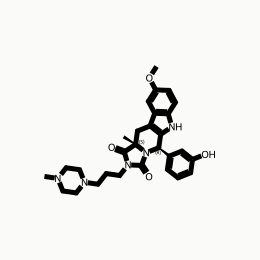 COc1ccc2[nH]c3c(c2c1)C[C@@]1(C)C(=O)N(CCCN2CCN(C)CC2)C(=O)N1[C@@H]3c1cccc(O)c1